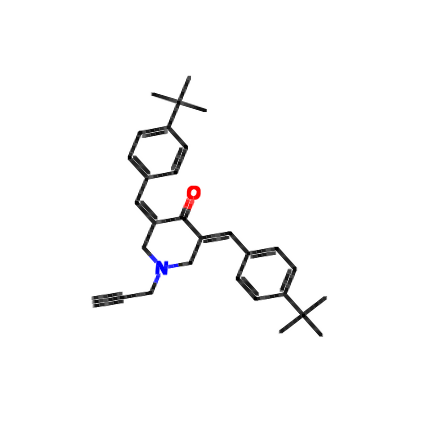 C#CCN1C/C(=C/c2ccc(C(C)(C)C)cc2)C(=O)/C(=C/c2ccc(C(C)(C)C)cc2)C1